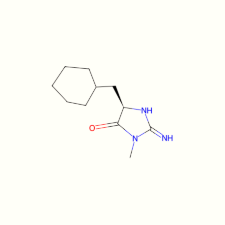 CN1C(=N)N[C@H](CC2CCCCC2)C1=O